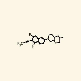 CC1CCC2CC(c3ccc4c(F)c(C#CC(F)(F)F)c(F)cc4c3)CCC2C1